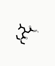 CCN(CC)C(=O)CC(CC(N)=O)CC(C)C